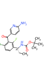 CC[C@@H](NC(=O)OC(C)(C)C)c1ccc(Cl)c(C(=O)c2ccc(N)nc2)c1F